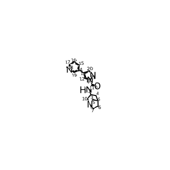 O=C(NC1CC2CCN(C2)C1)n1cc(-c2cccnc2)cn1